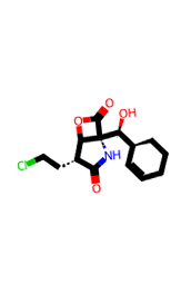 O=C1N[C@@]2([C@@H](O)[C@@H]3C=CCCC3)C(=O)OC2[C@H]1CCCl